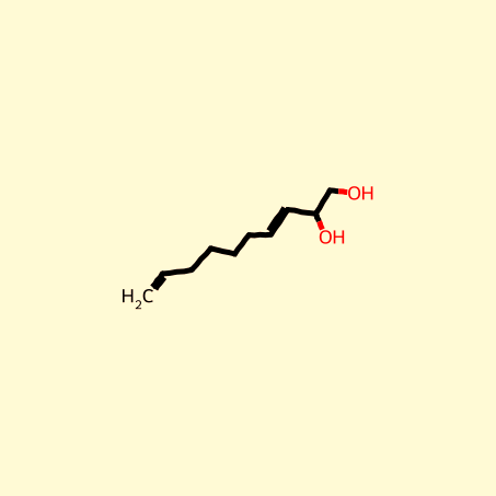 C=CCCCCC=CC(O)CO